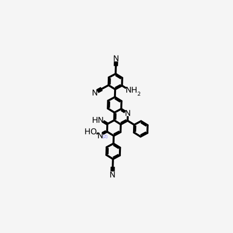 N#Cc1ccc(C2=Cc3c(-c4ccccc4)nc4cc(-c5c(N)cc(C#N)cc5C#N)ccc4c3C(=N)/C2=N\O)cc1